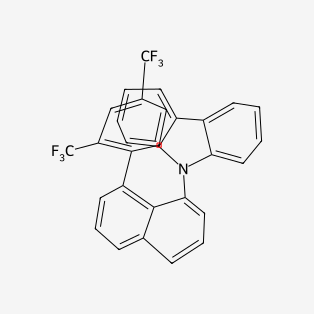 FC(F)(F)c1ccc(-c2cccc3cccc(-n4c5ccccc5c5ccccc54)c23)c(C(F)(F)F)c1